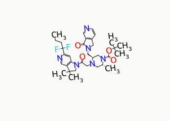 CCCC(F)(F)c1cc2c(cn1)C(C)(C)CN2C(=O)CN1C[C@@H](C)N(C(=O)OC(C)(C)C)C[C@@H]1CN1Cc2ccncc2C1=O